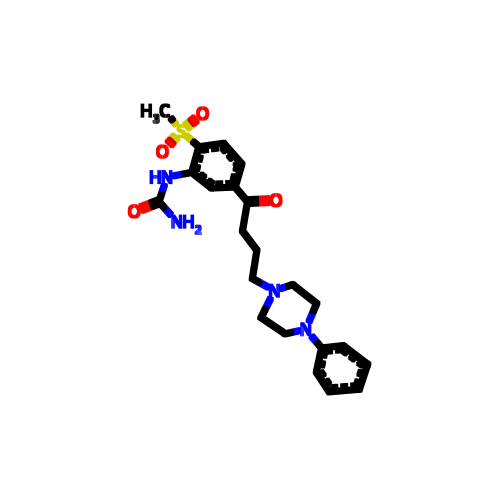 CS(=O)(=O)c1ccc(C(=O)CCCN2CCN(c3ccccc3)CC2)cc1NC(N)=O